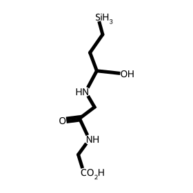 O=C(O)CNC(=O)CNC(O)CC[SiH3]